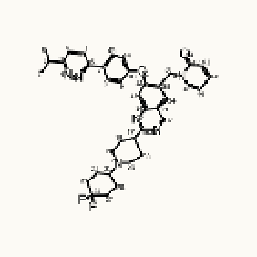 CC(C)c1ccc(-c2ccc(Oc3cc4nc(C5CCN(C6CCC(F)(F)CC6)CC5)ncc4cc3Cn3ccccc3=O)cc2)nn1